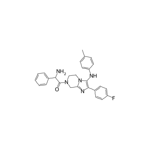 Cc1ccc(Nc2c(-c3ccc(F)cc3)nc3n2CCN(C(=O)C(N)c2ccccc2)C3)cc1